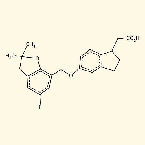 CC1(C)Cc2cc(F)cc(COc3ccc4c(c3)CCC4CC(=O)O)c2O1